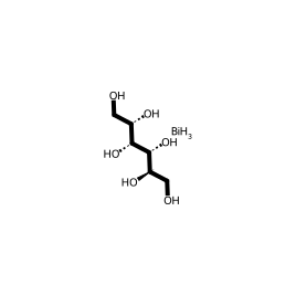 OC[C@@H](O)[C@@H](O)[C@H](O)[C@@H](O)CO.[BiH3]